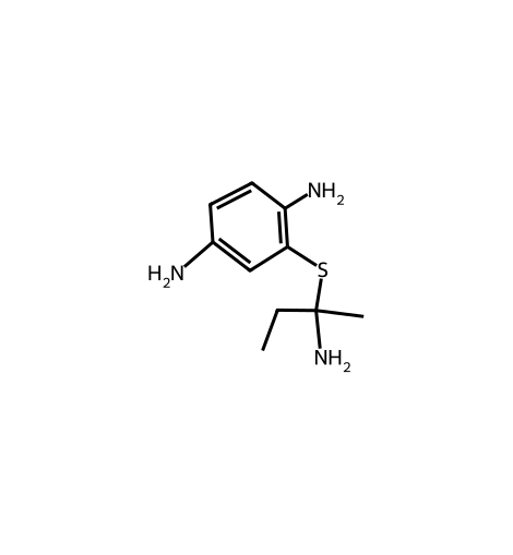 CCC(C)(N)Sc1cc(N)ccc1N